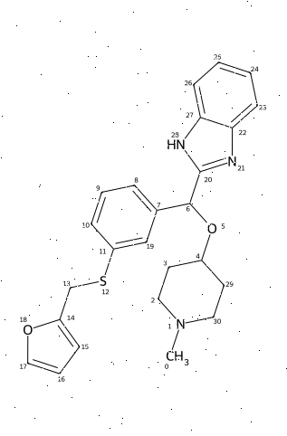 CN1CCC(OC(c2cccc(SCc3ccco3)c2)c2nc3ccccc3[nH]2)CC1